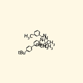 CCCCC(C)(C)c1nnc(-c2cccc(C)c2)n1-c1ccc(-c2ccc(C(C)(C)C)cc2)cc1C